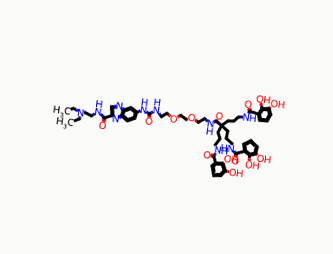 CCN(CC)CCNC(=O)c1cnc2cc(NC(=O)NCCOCCOCCNC(=O)C(CCCNC(=O)c3cccc(O)c3O)(CCCNC(=O)c3cccc(O)c3O)CCCNC(=O)c3cccc(O)c3O)ccc2n1